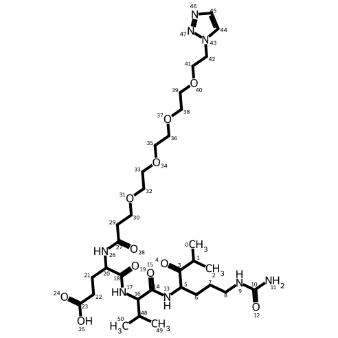 CC(C)C(=O)C(CCCNC(N)=O)NC(=O)C(NC(=O)C(CCC(=O)O)NC(=O)CCOCCOCCOCCOCCn1ccnn1)C(C)C